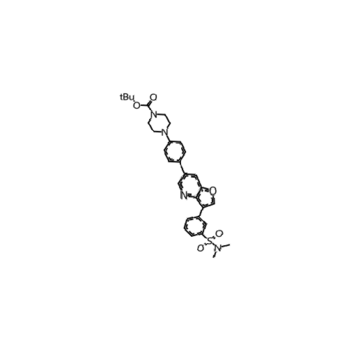 CN(C)S(=O)(=O)c1cccc(-c2coc3cc(-c4ccc(N5CCN(C(=O)OC(C)(C)C)CC5)cc4)cnc23)c1